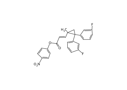 CC1(/C=C/C(=O)Oc2ccc([N+](=O)[O-])cc2)CC1(c1cccc(F)c1)c1cccc(F)c1